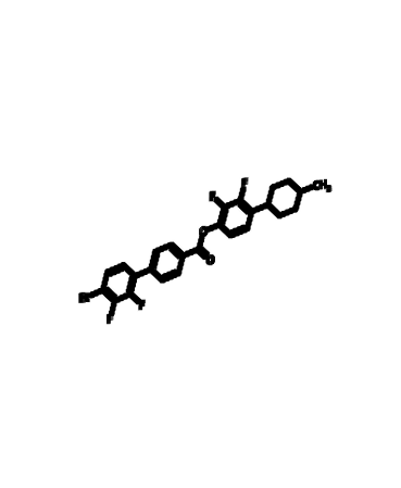 CCc1ccc(-c2ccc(C(=O)Oc3ccc(C4CCC(C)CC4)c(F)c3F)cc2)c(F)c1F